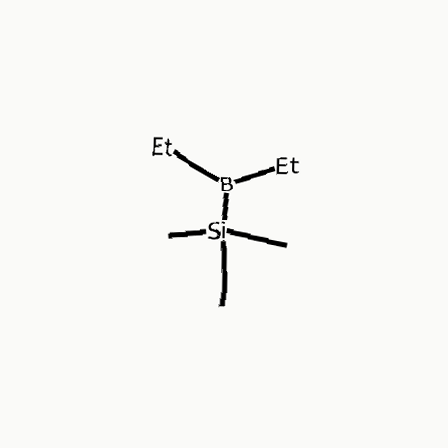 CCB(CC)[Si](C)(C)C